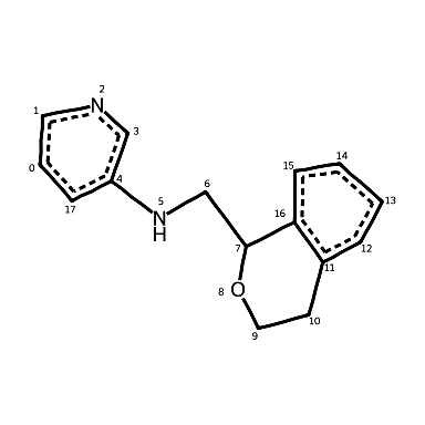 c1cncc(NCC2OCCc3ccccc32)c1